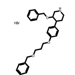 Br.c1ccc(COCCCOc2ccc(C3CCNCC3OCc3ccccc3)cc2)cc1